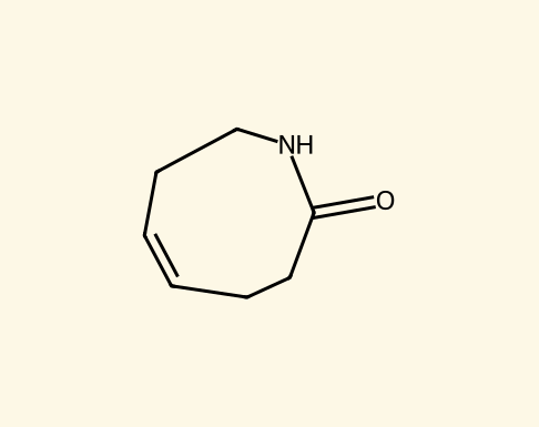 O=C1CCC=CCCN1